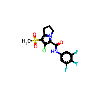 CS(=O)(=O)c1c(Cl)c(C(=O)Nc2cc(F)c(F)c(F)c2)n2c1CCC2